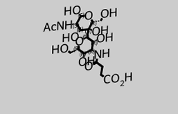 CC(=O)N[C@H]1[C@@H](O)[C@@](O)([C@@H]2O[C@H](CO)[C@H](O)[C@@H](NC(=O)CCC(=O)O)[C@H]2O)[C@@H](CO)O[C@@H]1O